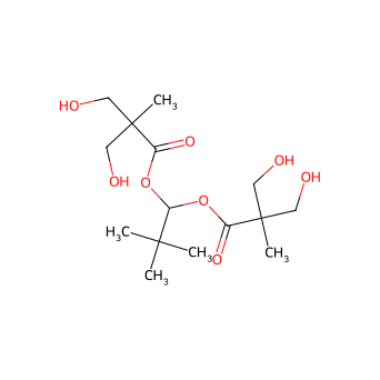 CC(CO)(CO)C(=O)OC(OC(=O)C(C)(CO)CO)C(C)(C)C